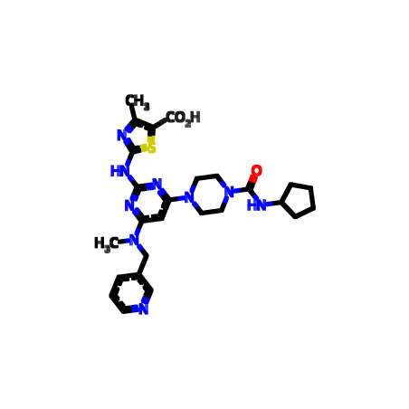 Cc1nc(Nc2nc(N(C)Cc3cccnc3)cc(N3CCN(C(=O)NC4CCCC4)CC3)n2)sc1C(=O)O